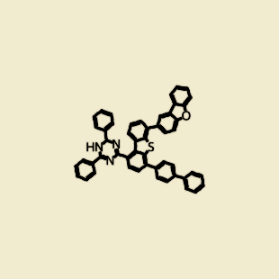 c1ccc(C2=NC(c3ccc(-c4ccc(-c5ccccc5)cc4)c4sc5c(-c6ccc7oc8ccccc8c7c6)cccc5c34)=NC(c3ccccc3)N2)cc1